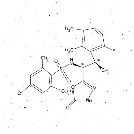 Cc1ccc(F)c([C@@H](C)[C@H](NS(=O)(=O)c2c(C)cc(Cl)cc2C(=O)O)c2n[nH]c(=O)o2)c1C